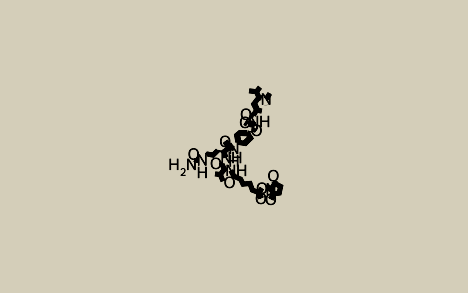 C/C(=C\C(C(C)C)N(C)C)C(=O)NS(=O)(=O)c1ccc(NC(=O)[C@H](CCCNC(N)=O)NC(=O)[C@@H](NC(=O)CCCCC(=O)ON2C(=O)CCC2=O)C(C)C)cc1